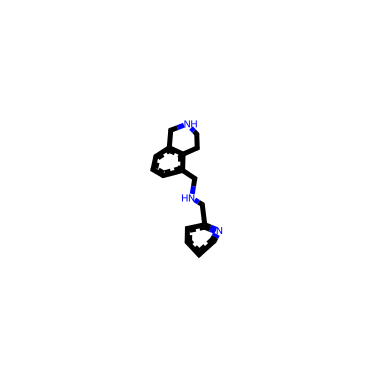 c1ccc(CNCc2cccc3c2CCNC3)nc1